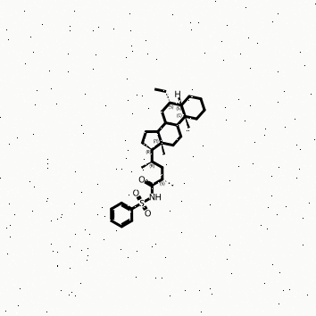 CC[C@H]1CC2C3CC[C@H]([C@H](C)C[C@H](C)C(=O)NS(=O)(=O)c4ccccc4)[C@@]3(C)CCC2[C@@]2(C)CCCC[C@@H]12